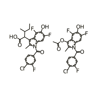 CC(=O)Oc1c(C)n(C(=O)c2ccc(Cl)c(F)c2)c2cc(F)c(O)c(F)c12.CCC(C)C(C(=O)O)c1c(C)n(C(=O)c2ccc(Cl)c(F)c2)c2cc(F)c(O)c(F)c12